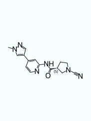 Cn1cc(-c2ccnc(NC(=O)[C@H]3CCN(C#N)C3)c2)cn1